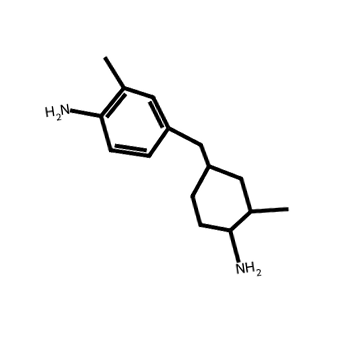 Cc1cc(CC2CCC(N)C(C)C2)ccc1N